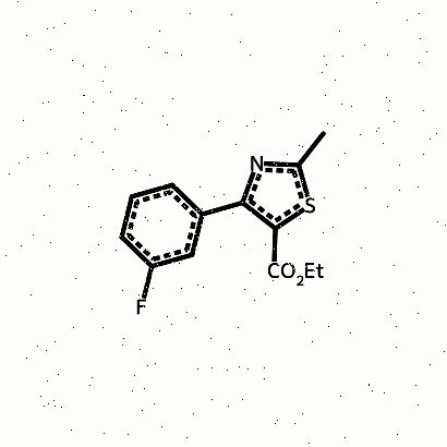 CCOC(=O)c1sc(C)nc1-c1cccc(F)c1